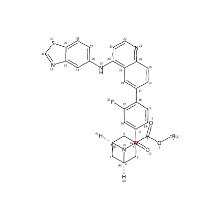 CC(C)(C)OC(=O)N1C[C@H]2C[C@@H](C1)N2C(=O)c1ccc(-c2ccc3nccc(Nc4ccc5scnc5c4)c3c2)c(F)c1